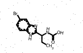 CCC(NC(=O)O)c1nc2cc(Br)ccc2[nH]1